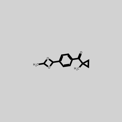 CC1OC(c2ccc(C(=O)C3(C)CC3)cc2)O1